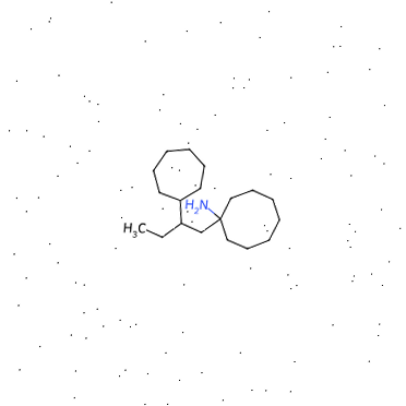 CCC(CC1(N)CCCCCCC1)C1CCCCCC1